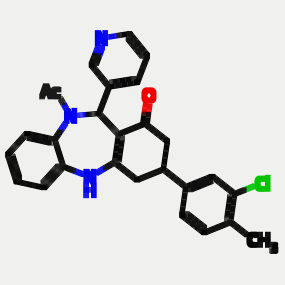 CC(=O)N1c2ccccc2NC2=C(C(=O)CC(c3ccc(C)c(Cl)c3)C2)C1c1cccnc1